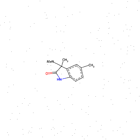 CNC1(C)C(=O)Nc2ccc(C)cc21